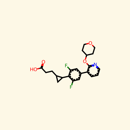 O=C(O)CCC1CC1c1c(F)cc(-c2cccnc2OC2CCOCC2)cc1F